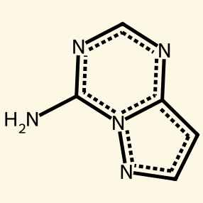 Nc1ncnc2ccnn12